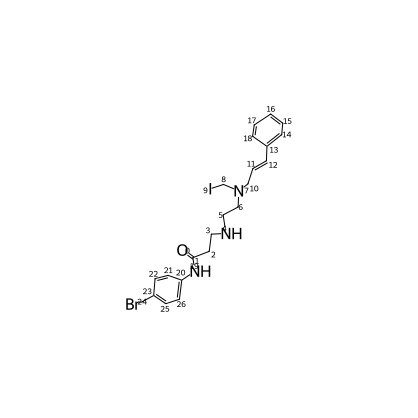 O=C(CCNCCN(CI)C/C=C/c1ccccc1)Nc1ccc(Br)cc1